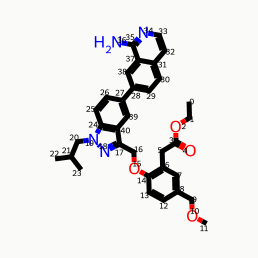 CCOC(=O)Cc1cc(COC)ccc1OCc1nn(CC(C)C)c2ccc(-c3ccc4ccnc(N)c4c3)cc12